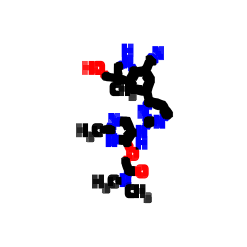 Cc1ncc(Nc2nccc(-c3cc(C#N)c4c(c3)C(C)(CO)CN4)n2)c(OCC(=O)N(C)C)n1